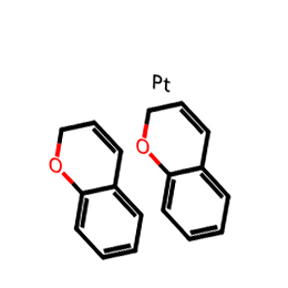 C1=Cc2ccccc2OC1.C1=Cc2ccccc2OC1.[Pt]